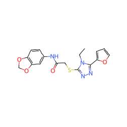 CCn1c(SCC(=O)Nc2ccc3c(c2)OCO3)nnc1-c1ccco1